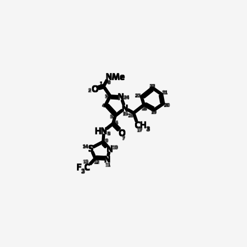 CNC(=O)c1cc(C(=O)Nc2nnc(C(F)(F)F)s2)n(C(C)c2ccccc2)n1